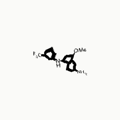 CO[C@H]1C[C@@H](Nc2cccc(C(F)(F)F)c2)c2ccc(N)cc21